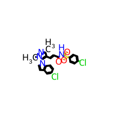 Cc1nn(C)c(-n2ccc3cc(Cl)ccc32)c1C=CC(=O)NS(=O)(=O)c1ccc(Cl)cc1